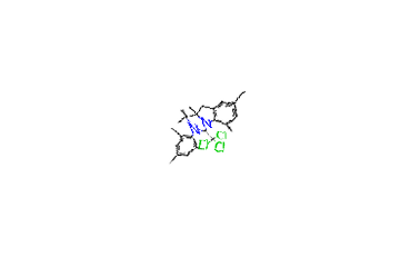 Cc1cc(C)c(N2C(C(Cl)(Cl)Cl)N3c4c(C)cc(C)cc4CC3(C)C2(C)C)c(C)c1